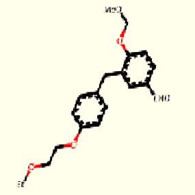 CCOCCOc1ccc(Cc2cc(C=O)ccc2OCOC)cc1